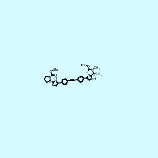 C[C@@H](c1nc(-c2ccc(C#Cc3ccc(-c4cnc([C@H]5CCCN5C(=O)OC(C)(C)C)[nH]4)cc3)cc2)c[nH]1)N(C)C(=O)OC(C)(C)C